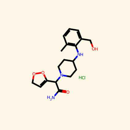 Cc1cccc(CO)c1NC1CCN(C(C(N)=O)C2=CCOO2)CC1.Cl